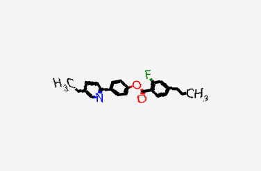 CCCc1ccc(C(=O)Oc2ccc(-c3ccc(CC)cn3)cc2)c(F)c1